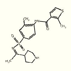 C/C(=N/S(=O)(=O)c1ccc(NC(=O)c2ccsc2C)c(C)c1)C1CCNCC1